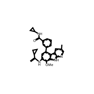 C=C(Nc1cc(-c2cccc(C(=O)NC3CC3)c2)c2c([nH]c3ncc(C)cc32)c1OC)C1CC1